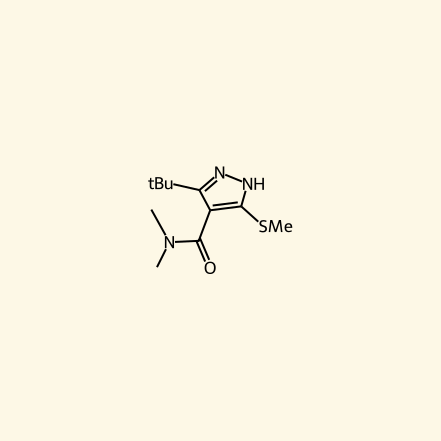 CSc1[nH]nc(C(C)(C)C)c1C(=O)N(C)C